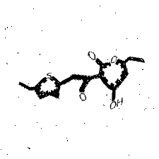 Cc1cc(O)c(C(=O)Cc2ccc(C)s2)c(=O)o1